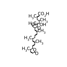 CC(C=CC1OC(=O)C=CC1C)=CC(C)CC=CC(C)=CC(CO)C(=O)C(C)C(O)C(C)CC(C)=CC(=O)O